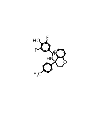 O=C(N[C@]1(c2ccc(C(F)(F)F)cc2)CCOc2cccnc21)c1cc(F)c(O)c(F)c1